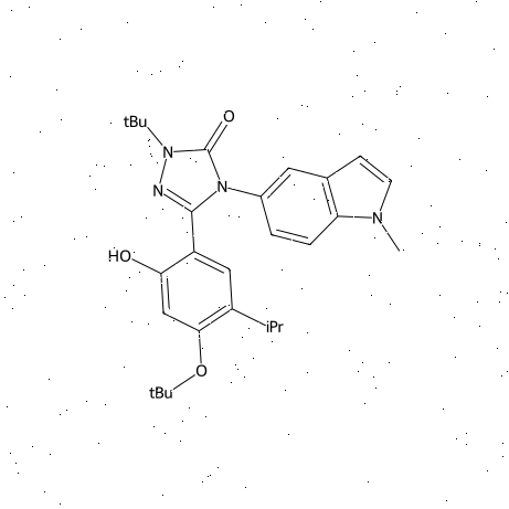 CC(C)c1cc(-c2nn(C(C)(C)C)c(=O)n2-c2ccc3c(ccn3C)c2)c(O)cc1OC(C)(C)C